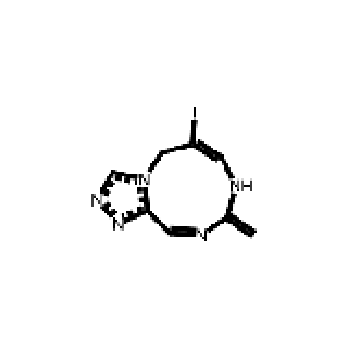 C=C1/N=C\c2nncn2C/C(I)=C\N1